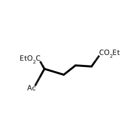 CCOC(=O)CCCC(C(C)=O)C(=O)OCC